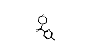 Cc1cnc(C(=O)N2CCOCC2)nc1